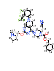 CN1CCC[C@H]1COc1nc2c(c(N3CCN(C(=O)OCc4ccccc4)[C@@H](CC#N)C3)n1)CCN(c1cccc(F)c1C(F)(F)F)C2